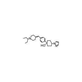 CCC(CC)N1CCC(=Cc2ccc(C3(O)CCC(n4cccn4)CC3)cc2)CC1